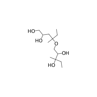 CCC(C)(CC(O)CO)OCC(O)C(C)(O)CC